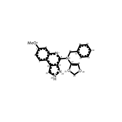 COc1ccc2c(c1)nc(N(Cc1ccccc1)C1=COCO1)c1n[nH]cc12